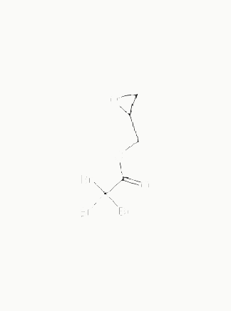 O=C(OCC1CO1)C(Br)(Br)Br